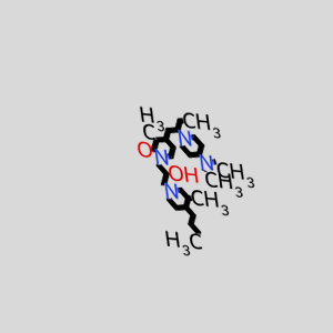 CCCCC1CCN(C[C@@H](O)CN2CCC(CC(CC)N3CCC(N(CC)CC)CC3)C(C)C2=O)CC1C